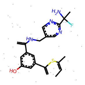 C=C(NCc1cnc(C(C)(N)F)nc1)c1cc(O)cc(C(=C)S/C(C)=C\C)c1